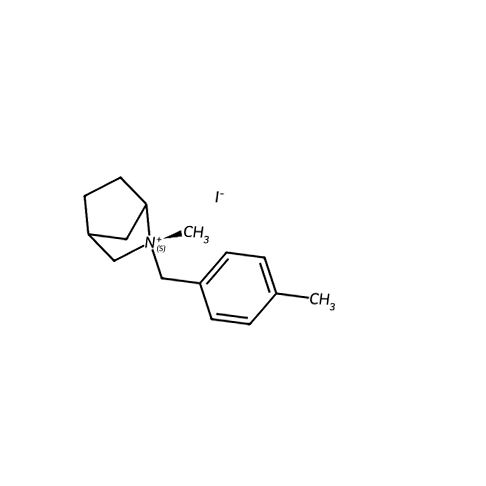 Cc1ccc(C[N@+]2(C)CC3CCC2C3)cc1.[I-]